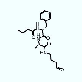 CCCC(=O)N[C@H](Cc1ccccc1)C(=O)N[C@H](C)C(=O)NCCCC=O